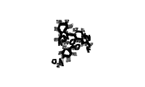 O=C(O[C@@H]1c2cc(CF)nn2CC[C@H]1[C@H]1c2ccccc2-c2cncn21)c1ccc([N+](=O)[O-])cc1